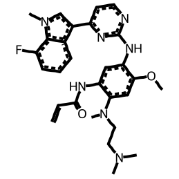 C=CC(=O)Nc1cc(Nc2nccc(-c3cn(C)c4c(F)cccc34)n2)c(OC)cc1N(C)CCN(C)C